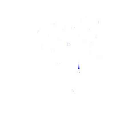 COC(=O)[C@H](C(OCc1ccccc1)=[N+](S(=O)(=O)C(F)(F)F)S(=O)(=O)C(F)(F)F)n1cc[n+](C)c1